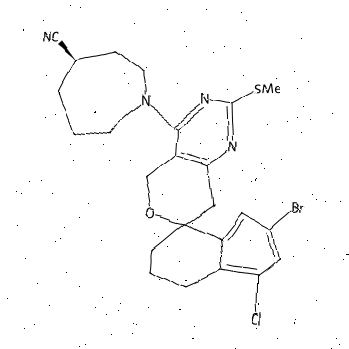 CSc1nc2c(c(N3CCC[C@@H](C#N)CC3)n1)COC1(CCCc3c(Cl)cc(Br)cc31)C2